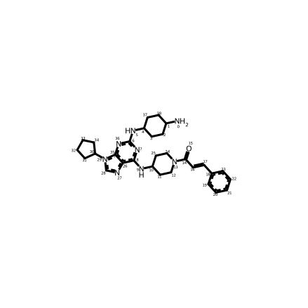 NC1CCC(Nc2nc(NC3CCN(C(=O)C=Cc4ccccc4)CC3)c3ncn(C4CCCC4)c3n2)CC1